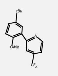 COc1ccc(C(C)(C)C)cc1-c1cc(C(F)(F)F)ccn1